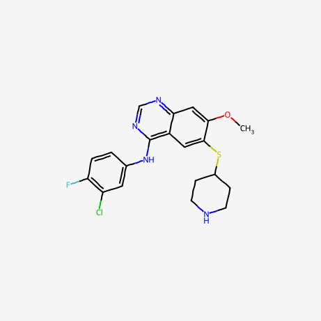 COc1cc2ncnc(Nc3ccc(F)c(Cl)c3)c2cc1SC1CCNCC1